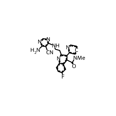 CNC(=O)c1c(-c2ccccn2)c(CCNc2ncnc(N)c2C#N)nc2ccc(F)cc12